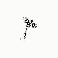 CCCCCCCCNC(=O)Cc1c(C)n(C(=O)c2ccc(Cl)cc2)c2ccc(OC)cc12